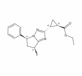 CCOC(=O)[C@@H]1C[C@H]1c1nc2n(n1)[C@H](c1ccccc1)C[C@@H]2F